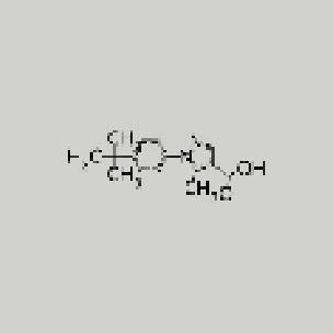 Cc1c(C(=O)O)cnn1-c1ccc(C(C)(C)C)cc1